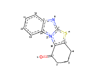 O=C1CCCc2sc3nc4ccccc4n3c21